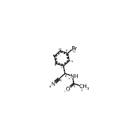 CC(=O)NC(C#N)c1cccc(Br)c1